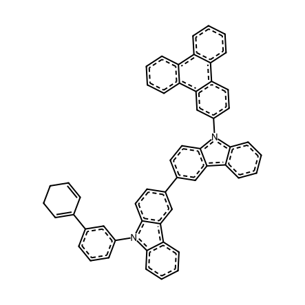 C1=CC(c2cccc(-n3c4ccccc4c4cc(-c5ccc6c(c5)c5ccccc5n6-c5ccc6c7ccccc7c7ccccc7c6c5)ccc43)c2)=CCC1